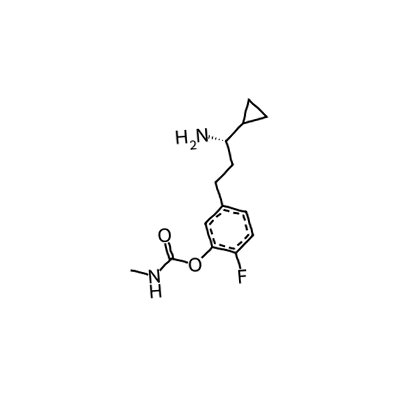 CNC(=O)Oc1cc(CC[C@H](N)C2CC2)ccc1F